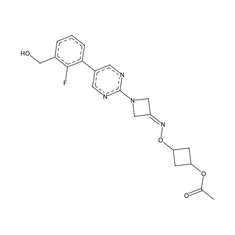 CC(=O)OC1CC(ON=C2CN(c3ncc(-c4cccc(CO)c4F)cn3)C2)C1